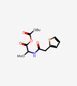 COC(NC(=O)Cc1cccs1)C(=O)OC(=O)OCC(C)C